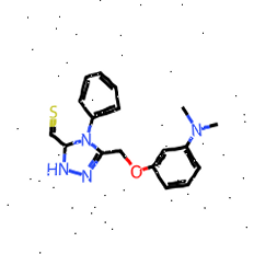 CN(C)c1cccc(OCC2=NNC(C=S)N2c2ccccc2)c1